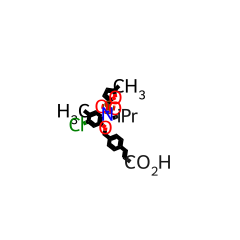 Cc1ccc(S(=O)(=O)N(CC(C)C)c2cc(C)c(Cl)cc2OCc2ccc(C=CC(=O)O)cc2)o1